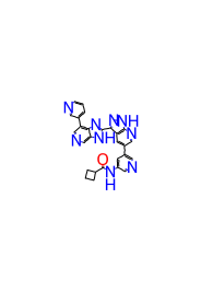 O=C(Nc1cncc(-c2cnc3[nH]nc(-c4nc5c(-c6cccnc6)cncc5[nH]4)c3c2)c1)C1CCC1